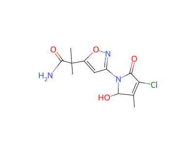 CC1=C(Cl)C(=O)N(c2cc(C(C)(C)C(N)=O)on2)C1O